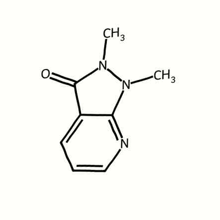 Cn1c(=O)c2cccnc2n1C